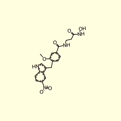 COc1cc(C(=O)NCCC(=O)NO)ccc1Cc1c[nH]c2ccc([N+](=O)[O-])cc12